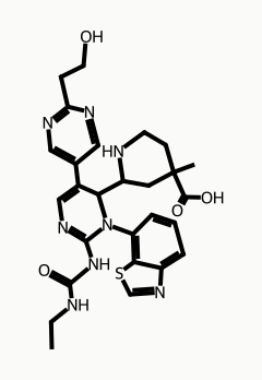 CCNC(=O)NC1=NC=C(c2cnc(CCO)nc2)C(C2CC(C)(C(=O)O)CCN2)N1c1cccc2ncsc12